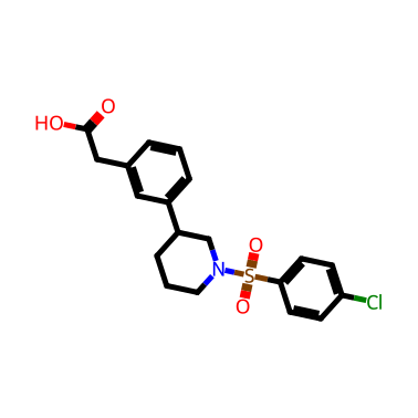 O=C(O)Cc1cccc(C2CCCN(S(=O)(=O)c3ccc(Cl)cc3)C2)c1